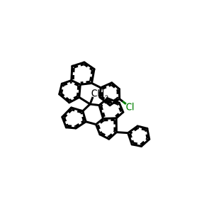 CC1(c2cccc3cccc(-c4ccc(Cl)cc4)c23)c2ccccc2-c2ccc(-c3ccccc3)c3cccc1c23